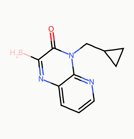 Bc1nc2cccnc2n(CC2CC2)c1=O